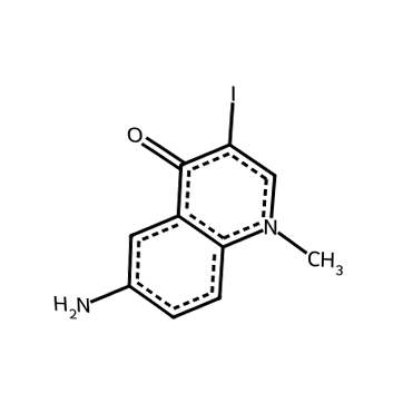 Cn1cc(I)c(=O)c2cc(N)ccc21